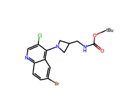 CC(C)(C)OC(=O)NCC1CN(c2c(Cl)cnc3ccc(Br)cc23)C1